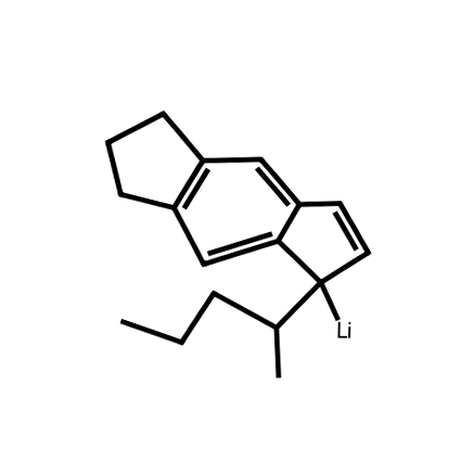 [Li][C]1(C(C)CCC)C=Cc2cc3c(cc21)CCC3